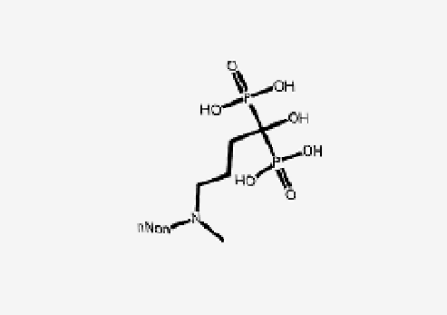 CCCCCCCCCN(C)CCCC(O)(P(=O)(O)O)P(=O)(O)O